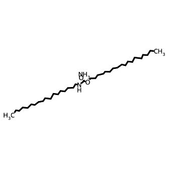 CCCCCCCCCCCCCCCCCCNC(=O)OCCCCCCCCCCCCCCCCCC.N